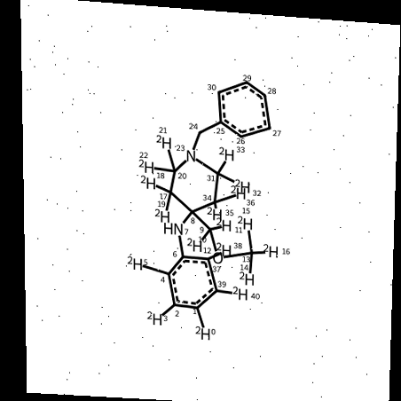 [2H]c1c([2H])c([2H])c(NC2(C([2H])([2H])OC([2H])([2H])[2H])C([2H])([2H])C([2H])([2H])N(Cc3ccccc3)C([2H])([2H])C2([2H])[2H])c([2H])c1[2H]